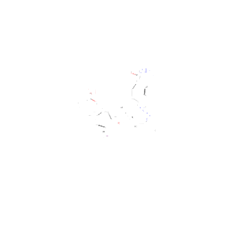 CC1=NN(c2ccc(C(N)=O)cc2)C(COc2c(F)cc(CC(C)C(=O)O)cc2F)C1